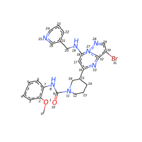 COc1ccccc1NC(=O)N1CCCC(c2cc(NCc3cccnc3)n3ncc(Br)c3n2)C1